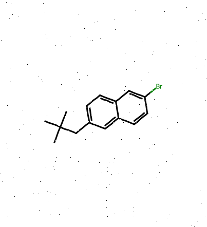 CC(C)(C)Cc1ccc2cc(Br)ccc2c1